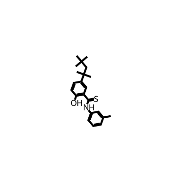 Cc1cccc(NC(=S)c2cc(C(C)(C)CC(C)(C)C)ccc2O)c1